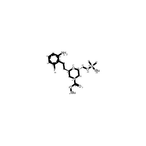 CC(C)(C)OC(=O)N1C[C@@H](CCc2c(N)cccc2F)O[C@H](CO[Si](C)(C)C(C)(C)C)C1